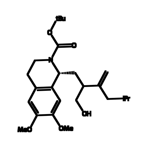 C=C(CC(C)C)C(CO)C[C@@H]1c2cc(OC)c(OC)cc2CCN1C(=O)OC(C)(C)C